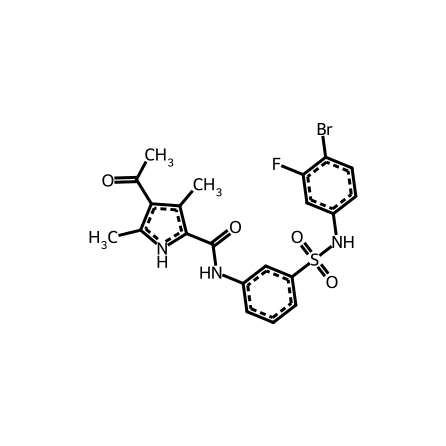 CC(=O)c1c(C)[nH]c(C(=O)Nc2cccc(S(=O)(=O)Nc3ccc(Br)c(F)c3)c2)c1C